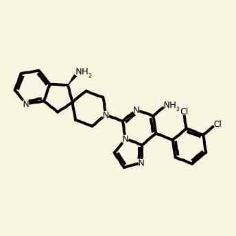 Nc1nc(N2CCC3(CC2)Cc2ncccc2[C@H]3N)n2ccnc2c1-c1cccc(Cl)c1Cl